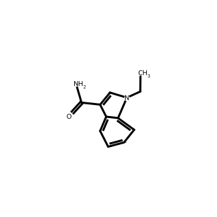 CCn1cc(C(N)=O)c2cc[c]cc21